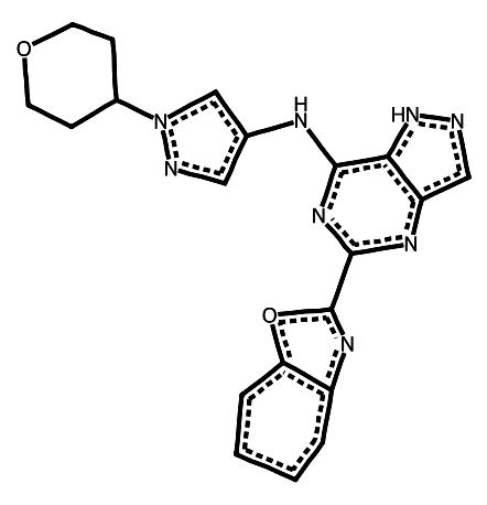 c1ccc2oc(-c3nc(Nc4cnn(C5CCOCC5)c4)c4[nH]ncc4n3)nc2c1